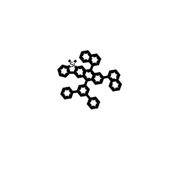 C[Si]1(C)c2ccccc2-c2cc3c(-c4cc(-c5ccccc5)cc(-c5ccccc5)c4)c4ccc(-c5cccc6ccccc56)cc4c(-c4cccc5ccccc45)c3cc21